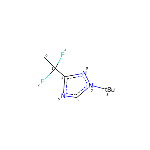 CC(F)(F)c1ncn(C(C)(C)C)n1